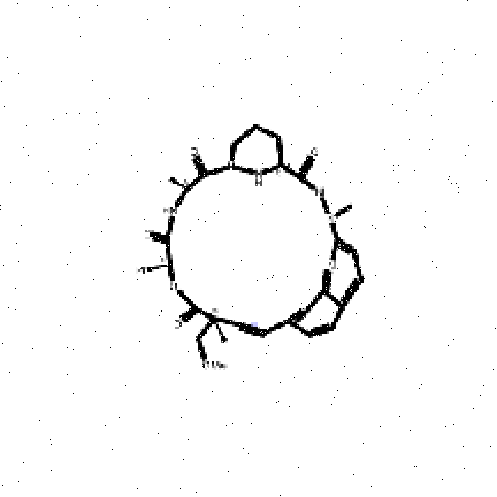 COC[C@@]1(C)/C=C/c2ccc3ccc(nc3c2)N(C)NC(=O)[C@@H]2CCCN(N2)C(=O)[C@H](C)NC(=O)[C@H](C(C)C)OC1=O